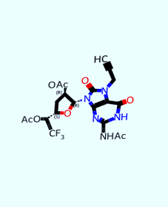 C#CCn1c(=O)n([C@@H]2O[C@H](C(OC(C)=O)C(F)(F)F)C[C@H]2OC(C)=O)c2nc(NC(C)=O)[nH]c(=O)c21